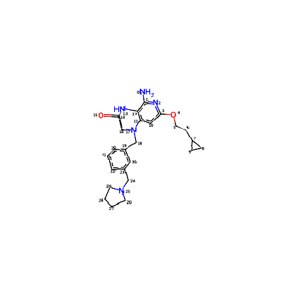 Nc1nc(OCCC2CC2)cc2c1NC(=O)CN2Cc1cccc(CN2CCCC2)c1